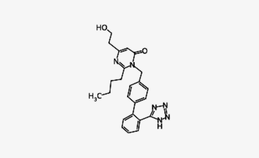 CCCCc1nc(CCO)cc(=O)n1Cc1ccc(-c2ccccc2-c2nnn[nH]2)cc1